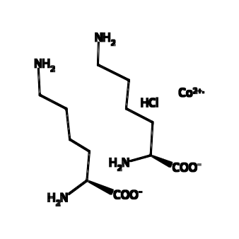 Cl.NCCCC[C@H](N)C(=O)[O-].NCCCC[C@H](N)C(=O)[O-].[Co+2]